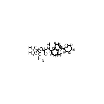 CC(C)(C)OC(=O)Nc1ccc(F)c2c1cnn2C1CCCCO1